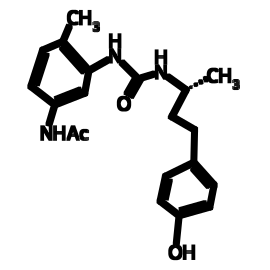 CC(=O)Nc1ccc(C)c(NC(=O)N[C@H](C)CCc2ccc(O)cc2)c1